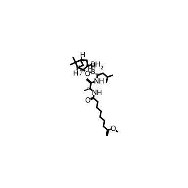 B[C@@H]1C[C@@H]2C[C@@H](C2(C)C)[C@]1(C)OB[C@H](CC(C)C)NC(=C)[C@H](C)NC(=O)CCCCCCC(=C)OC